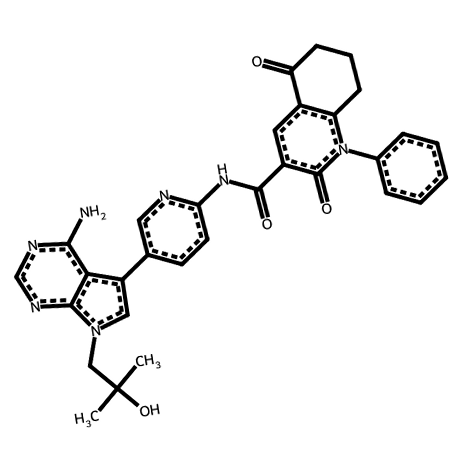 CC(C)(O)Cn1cc(-c2ccc(NC(=O)c3cc4c(n(-c5ccccc5)c3=O)CCCC4=O)nc2)c2c(N)ncnc21